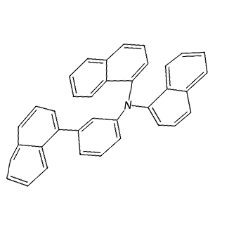 c1cc(-c2cccc3ccccc23)cc(N(c2cccc3ccccc23)c2cccc3ccccc23)c1